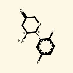 N[C@H]1CC(=O)CO[C@@H]1c1cc(F)ccc1F